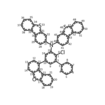 Clc1c(-c2ccccc2)cc(-c2cccc3oc4ccccc4c23)cc1N(c1ccc2c(c1)sc1ccccc12)c1ccc2c(c1)sc1ccccc12